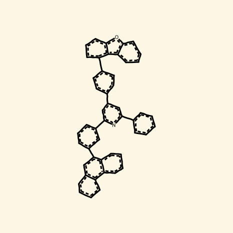 c1ccc(-c2cc(-c3ccc(-c4cccc5oc6ccccc6c45)cc3)cc(-c3cccc(-c4cc5ccccc5c5ccccc45)c3)n2)cc1